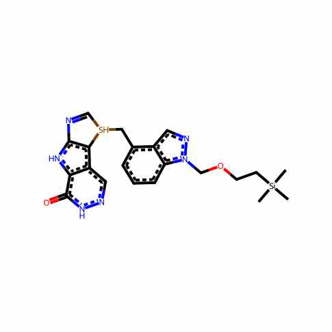 C[Si](C)(C)CCOCn1ncc2c(C[SH]3C=Nc4[nH]c5c(=O)[nH]ncc5c43)cccc21